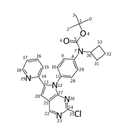 CC(C)(C)OC(=O)N(c1ccc(-n2c(-c3ccccn3)cc3cnc(Cl)nc32)cc1)C1CCC1